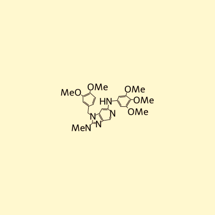 CNc1nc2cnc(Nc3cc(OC)c(OC)c(OC)c3)cc2n1Cc1ccc(OC)c(OC)c1